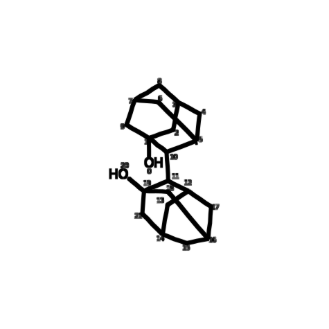 OC12CC3C[C](CC(C3)C1)C2C1C2CC3CC(C2)CC1(O)C3